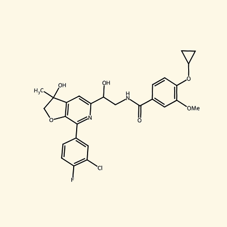 COc1cc(C(=O)NCC(O)c2cc3c(c(-c4ccc(F)c(Cl)c4)n2)OCC3(C)O)ccc1OC1CC1